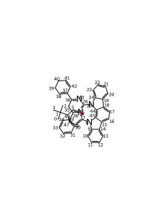 CC(C)(C)c1ccc(-n2c3ccccc3c3ccc4c5ccccc5n(C5=NC(c6ccccc6)CC(C6=CCCC=C6)=N5)c4c32)cc1